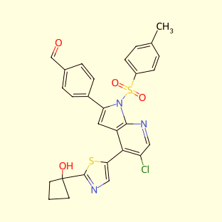 Cc1ccc(S(=O)(=O)n2c(-c3ccc(C=O)cc3)cc3c(-c4cnc(C5(O)CCC5)s4)c(Cl)cnc32)cc1